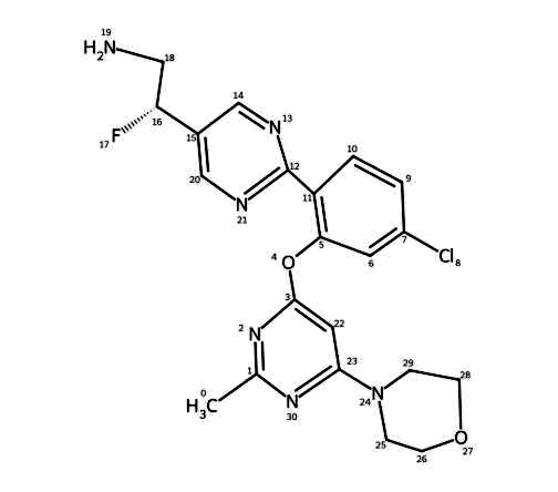 Cc1nc(Oc2cc(Cl)ccc2-c2ncc([C@H](F)CN)cn2)cc(N2CCOCC2)n1